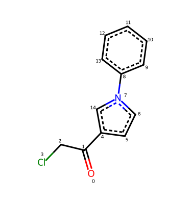 O=C(CCl)c1ccn(-c2ccccc2)c1